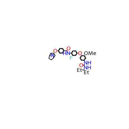 CCC(CC)NC(=O)Nc1ccc(Oc2ccc(NC(=O)c3ccc(OC4CC5CCC(C4)N5C)cc3)c(F)c2)c(OC)c1